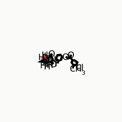 Cc1cc(C(=O)COc2ccc(N3C(=O)[C@@H]4[C@@H]5C=C[C@@H]([C@H]6C[C@@H]56)[C@@H]4C3=O)c(F)c2)ccc1Cl